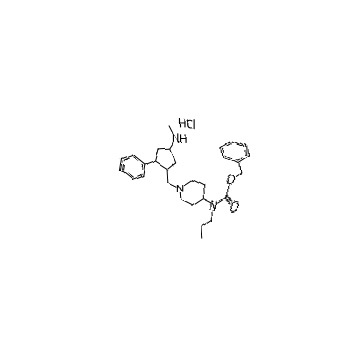 CCCN(C(=O)OCc1ccccc1)C1CCN(CC2CC(NC)CC2c2ccccc2)CC1.Cl